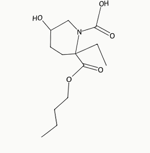 CCCCOC(=O)C1(CC)CCC(O)CN1C(=O)O